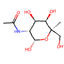 CC(=O)N[C@@H]1[C@@H](O)[C@@H](O)[C@@](C)(CO)O[C@@H]1O